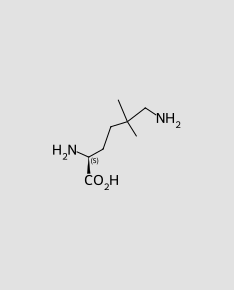 CC(C)(CN)CC[C@H](N)C(=O)O